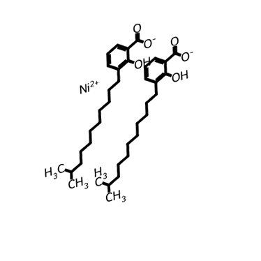 CC(C)CCCCCCCCCc1cccc(C(=O)[O-])c1O.CC(C)CCCCCCCCCc1cccc(C(=O)[O-])c1O.[Ni+2]